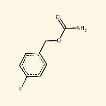 NC(=O)OCc1ccc(F)cc1